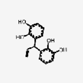 C=CC(c1cccc(O)c1O)c1cccc(O)c1O